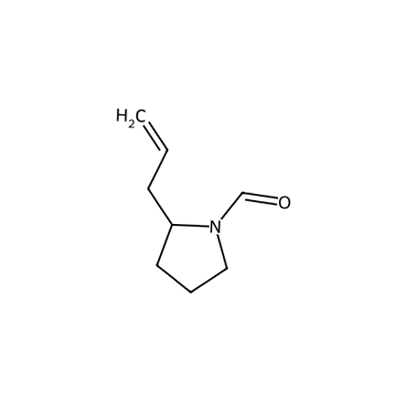 C=CCC1CCCN1C=O